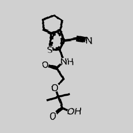 CC(C)(OCC(=O)Nc1sc2c(c1C#N)CCCC2)C(=O)O